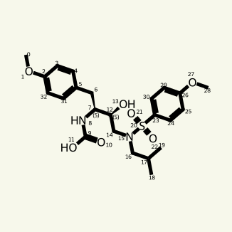 COc1ccc(C[C@H](NC(=O)O)[C@@H](O)CN(CC(C)C)S(=O)(=O)c2ccc(OC)cc2)cc1